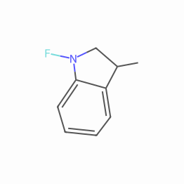 CC1CN(F)c2ccccc21